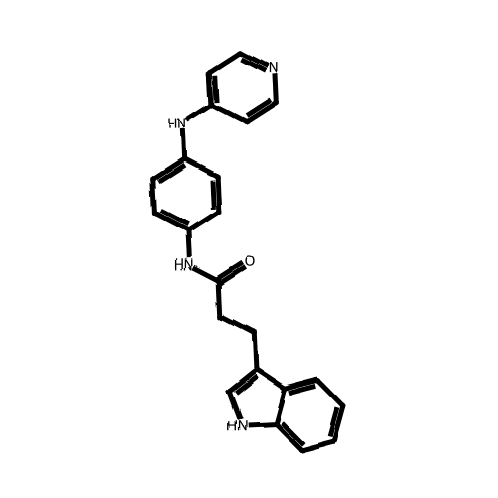 O=C(CCc1c[nH]c2ccccc12)Nc1ccc(Nc2ccncc2)cc1